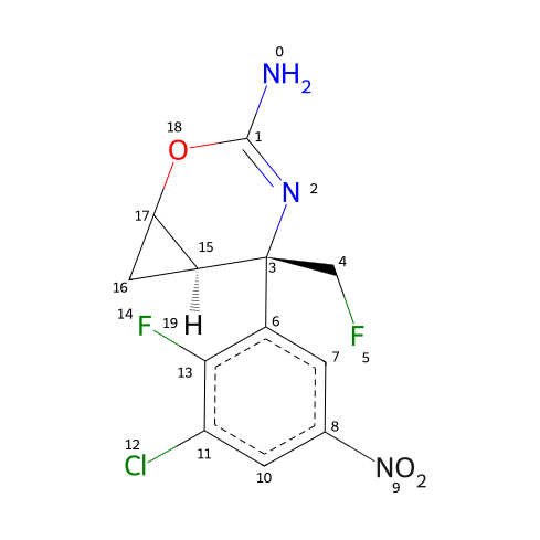 NC1=N[C@](CF)(c2cc([N+](=O)[O-])cc(Cl)c2F)[C@H]2CC2O1